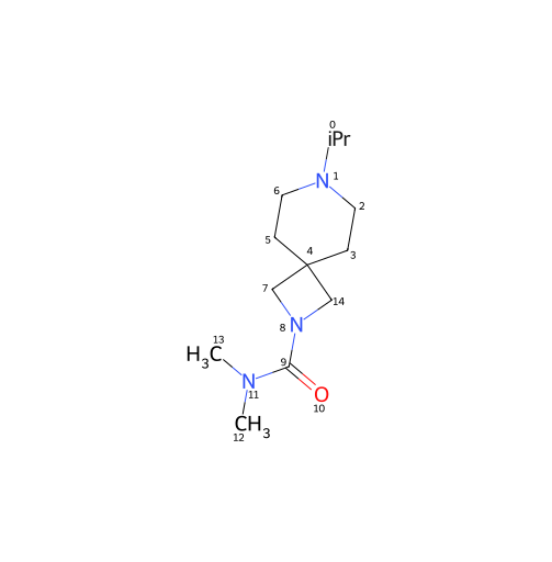 CC(C)N1CCC2(CC1)CN(C(=O)N(C)C)C2